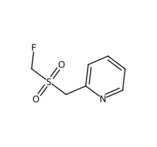 O=S(=O)(CF)Cc1ccccn1